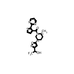 C[C@@H]1CC[C@@H](c2cc(C(O)C(F)(F)F)no2)CN1C(=O)c1ccsc1-c1ncccn1